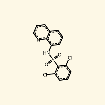 O=S(=O)(Nc1cccc2cccnc12)c1c(Cl)cccc1Cl